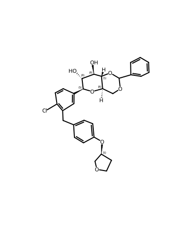 O[C@@H]1[C@@H](O)[C@H](c2ccc(Cl)c(Cc3ccc(O[C@H]4CCOC4)cc3)c2)O[C@@H]2COC(c3ccccc3)O[C@@H]12